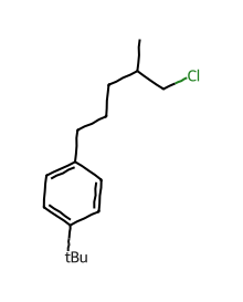 CC(CCl)CCCc1ccc(C(C)(C)C)cc1